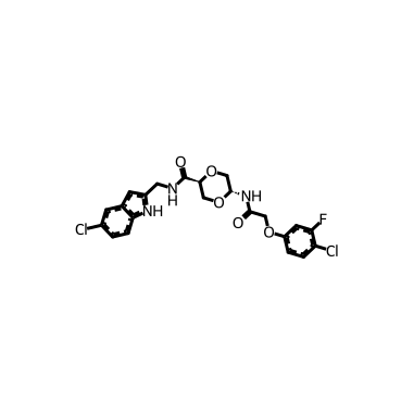 O=C(COc1ccc(Cl)c(F)c1)N[C@H]1CO[C@H](C(=O)NCc2cc3cc(Cl)ccc3[nH]2)CO1